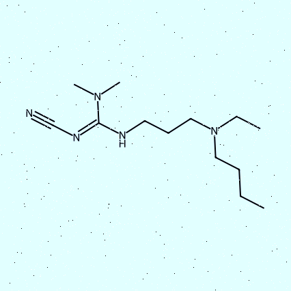 CCCCN(CC)CCCN/C(=N/C#N)N(C)C